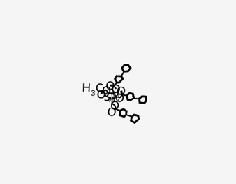 CC(=O)OC1S[C@H](COC(=O)c2ccc(-c3ccccc3)cc2)[C@H](OC(=O)c2ccc(-c3ccccc3)cc2)[C@H]1OC(=O)c1ccc(-c2ccccc2)cc1